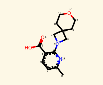 Cc1ccc(C(=O)O)c(N2CC3(CCOCC3)C2)n1